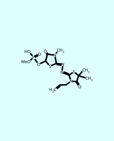 C=CCN1C(=O)C(C)(C)SC1=NN=C1SC(OP(=O)(O)OC)C(=O)N1C